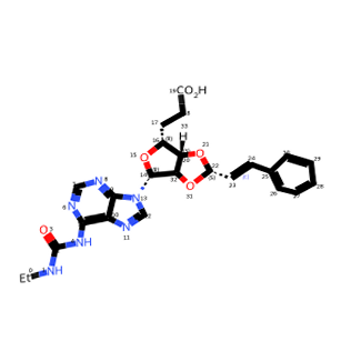 CCNC(=O)Nc1ncnc2c1ncn2[C@@H]1O[C@H](CCC(=O)O)[C@@H]2O[C@H](/C=C/c3ccccc3)OC21